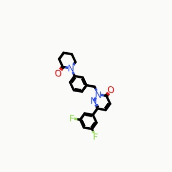 O=C1CCCCN1c1cccc(Cn2nc(-c3cc(F)cc(F)c3)ccc2=O)c1